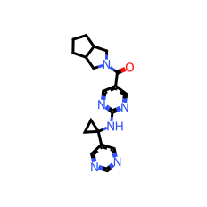 O=C(c1cnc(NC2(c3cncnc3)CC2)nc1)N1CC2CCCC2C1